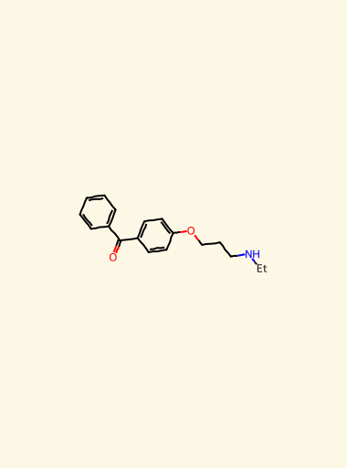 CCNCCCOc1ccc(C(=O)c2ccccc2)cc1